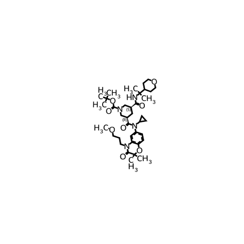 COCCCN1C(=O)C(C)(C)Oc2ccc(N(C(=O)[C@@H]3C[C@H](C(=O)NC(C)(C)C4CCOCC4)CN(C(=O)OC(C)(C)C)C3)C3CC3)cc21